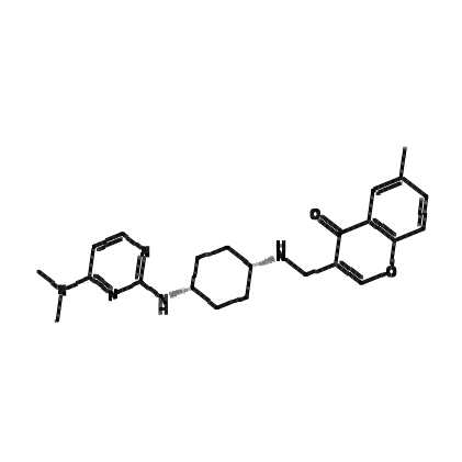 Cc1ccc2occ(CN[C@H]3CC[C@@H](Nc4nccc(N(C)C)n4)CC3)c(=O)c2c1